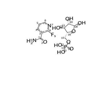 NC(=O)c1cccnc1F.O=P(O)(O)OC[C@H]1OC(O)[C@@H](O)[C@@H]1O